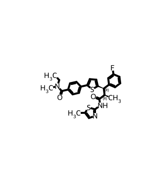 CCN(C)C(=O)c1ccc(-c2ccc([C@@H](c3cccc(F)c3)[C@@H](C)C(=O)Nc3ncc(C)s3)s2)cc1